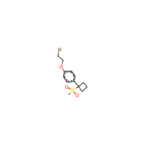 CS(=O)(=O)C1(c2ccc(OCCBr)cc2)CCC1